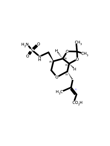 C/C(=C\C(=O)O)C[C@@H]1OC[C@@H](CNS(N)(=O)=O)[C@H]2OC(C)(C)O[C@H]21